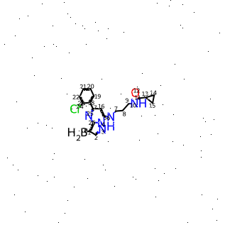 Bc1cnn2c(NCCCNC(=O)C3CC3)cc(-c3ccccc3Cl)nc12